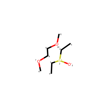 CC[S+]([O-])CC.COCCOC